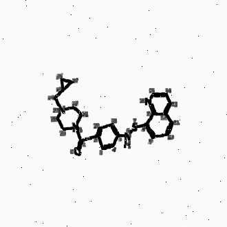 O=C(c1ccc(NSc2cccc3cccnc23)cc1)N1CCN(CC2CC2)CC1